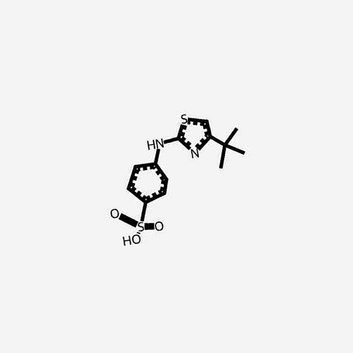 CC(C)(C)c1csc(Nc2ccc(S(=O)(=O)O)cc2)n1